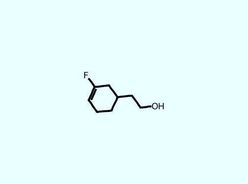 OCCC1CCC=C(F)C1